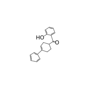 O=C(c1ccccc1O)C1CC=C(c2ccccc2)CC1